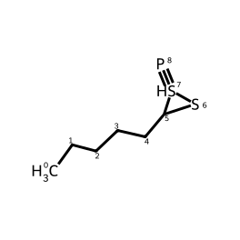 CCCCCC1S[SH]1#P